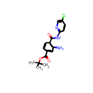 CC(C)(C)OC(=O)c1ccc(C(=O)Nc2ccc(Cl)cn2)c(N)c1